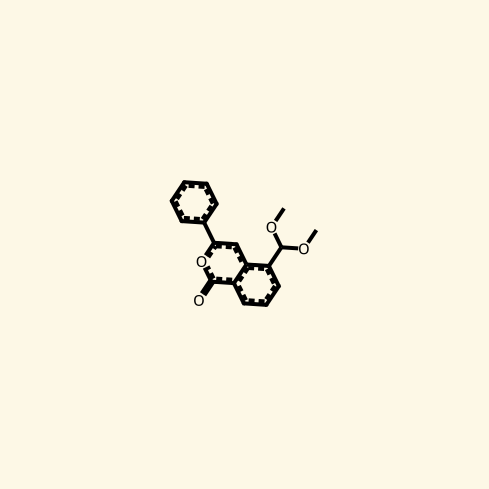 COC(OC)c1cccc2c(=O)oc(-c3ccccc3)cc12